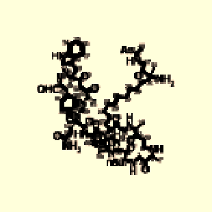 CCCC[C@H](NCC(=O)[C@H](C)NCCC(=O)[C@H](C)NCC(=O)[C@](C)(CCC/C=C/CCCCCC[C@@](C)(N)C(=O)CN[C@@H](C)C(C)=O)NC(=O)[C@H](CC(C)C)NC(=O)[C@H](CCC(N)=O)NCN[C@@H](C)C(=O)CC(=O)[C@](C)(Cc1c[nH]c2ccccc12)/N=N\[C@H](C=O)CC1=CC=C(O)CC1)C(=O)CN[C@@H](C)C(=O)CN